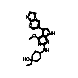 CCC1(O)CCC(Nc2nc(OC)c3c(-c4cnc5nccn5c4)c[nH]c3n2)CC1